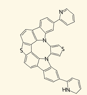 C1=CCNC(c2ccc3c4ccc5sc6ccc7c8ccc(-c9ccccn9)cc8n8c9cscc9n(c3c2)c4c5c6c78)=C1